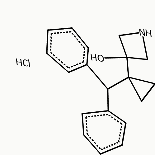 Cl.OC1(C2(C(c3ccccc3)c3ccccc3)CC2)CNC1